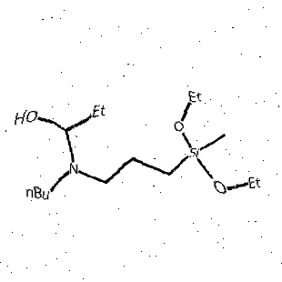 CCCCN(CCC[Si](C)(OCC)OCC)C(O)CC